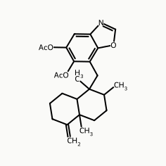 C=C1CCCC2C1(C)CCC(C)C2(C)Cc1c(OC(C)=O)c(OC(C)=O)cc2ncoc12